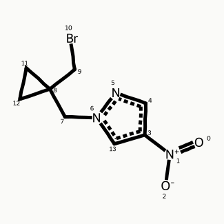 O=[N+]([O-])c1cnn(CC2(CBr)CC2)c1